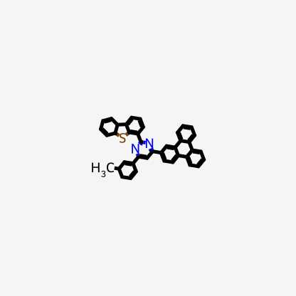 CC1C=C(c2cc(-c3ccc4c5ccccc5c5ccccc5c4c3)nc(-c3cccc4c3SC3C=CC=CC43)n2)C=CC1